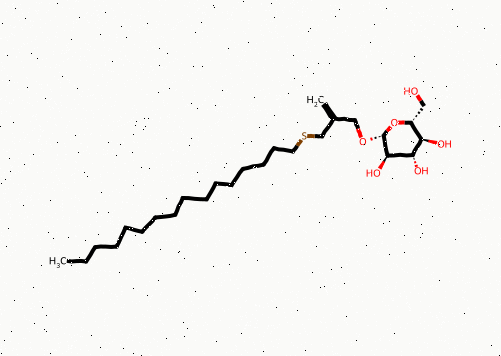 C=C(CO[C@@H]1O[C@H](CO)[C@@H](O)[C@H](O)[C@H]1O)CSCCCCCCCCCCCCCCCC